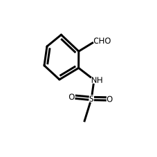 CS(=O)(=O)Nc1ccccc1C=O